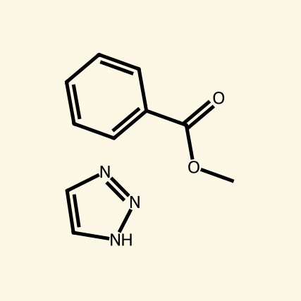 COC(=O)c1ccccc1.c1c[nH]nn1